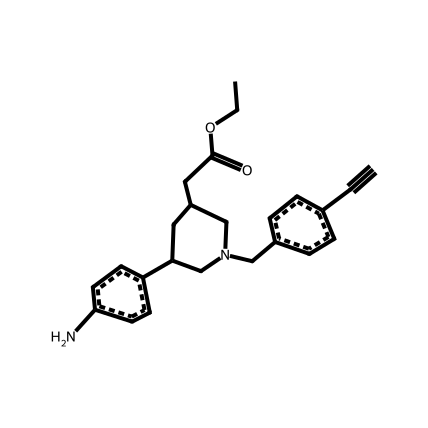 C#Cc1ccc(CN2CC(CC(=O)OCC)CC(c3ccc(N)cc3)C2)cc1